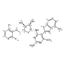 Cc1nc(N)nc(N[C@@H]2C[C@H](COc3c(F)cccc3F)[C@@H](O)[C@H]2O)c1-c1nc2c(C)nccc2s1